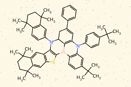 CC(C)(C)c1ccc(N2C3=C4B(c5ccc(C(C)(C)C)cc52)c2sc5cc6c(cc5c2N(c2ccc5c(c2)C(C)(C)CCC5(C)C)C4CC(c2ccccc2)=C3)C(C)(C)CCC6(C)C)cc1